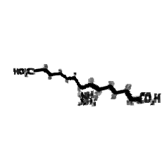 N.N.O=C(O)CCCCCCCCCCCCC(=O)O